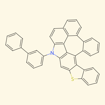 c1ccc(-c2cccc(-n3c4cc5sc6ccccc6c5c5c4c4c6c(cccc6ccc43)-c3ccccc3-5)c2)cc1